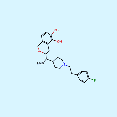 CNC(C1CCN(CCc2ccc(F)cc2)CC1)C1Cc2c(ccc(O)c2O)CO1